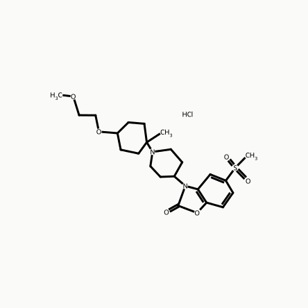 COCCOC1CCC(C)(N2CCC(n3c(=O)oc4ccc(S(C)(=O)=O)cc43)CC2)CC1.Cl